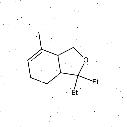 CCC1(CC)OCC2C(C)=CCCC21